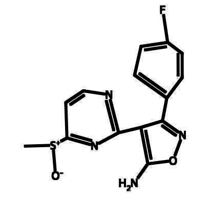 C[S+]([O-])c1ccnc(-c2c(-c3ccc(F)cc3)noc2N)n1